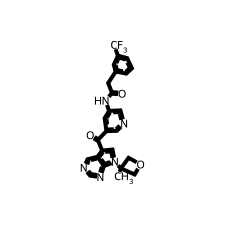 CC1(n2cc(C(=O)c3cncc(NC(=O)Cc4cccc(C(F)(F)F)c4)c3)c3cncnc32)COC1